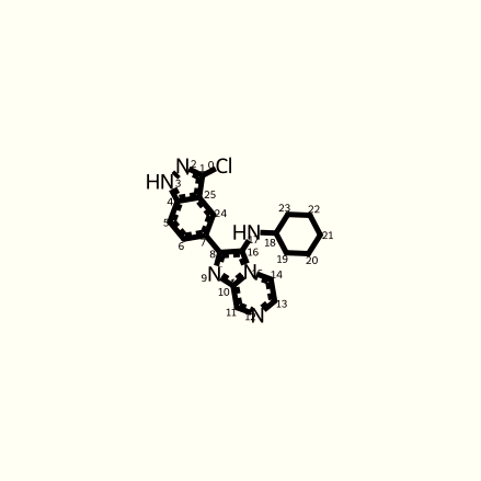 Clc1n[nH]c2ccc(-c3nc4cnccn4c3NC3CCCCC3)cc12